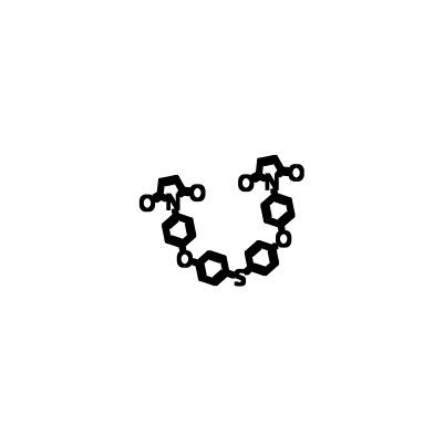 O=C1C=CC(=O)N1c1ccc(Oc2ccc(Sc3ccc(Oc4ccc(N5C(=O)C=CC5=O)cc4)cc3)cc2)cc1